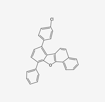 Clc1ccc(-c2ccc(-c3ccccc3)c3oc4c5ccccc5ccc4c23)cc1